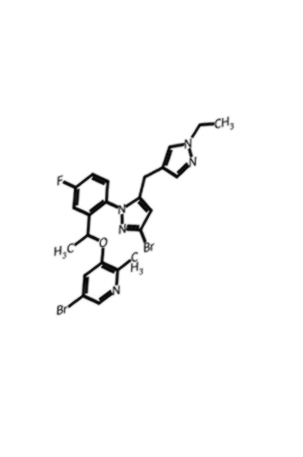 CCn1cc(Cc2cc(Br)nn2-c2ccc(F)cc2C(C)Oc2cc(Br)cnc2C)cn1